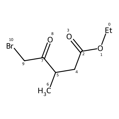 CCOC(=O)CC(C)C(=O)CBr